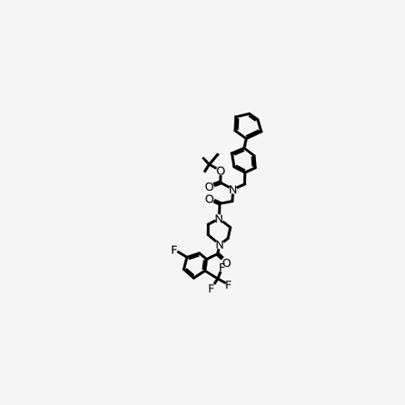 CC(C)(C)OC(=O)N(CC(=O)N1CCN(C(=O)c2cc(F)ccc2C(F)(F)F)CC1)Cc1ccc(-c2ccccc2)cc1